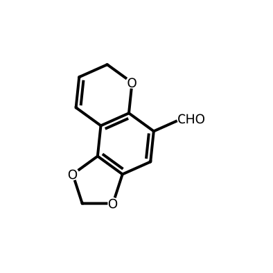 O=Cc1cc2c(c3c1OCC=C3)OCO2